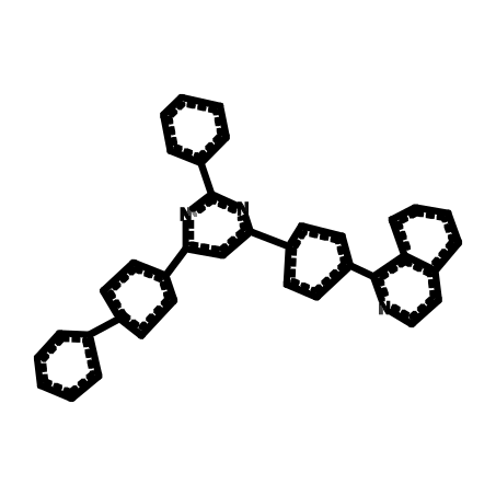 c1ccc(-c2ccc(-c3cc(-c4ccc(-c5nccc6ccccc56)cc4)nc(-c4ccccc4)n3)cc2)cc1